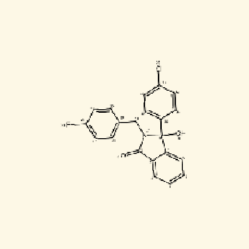 O=C1c2ccccc2C(O)(c2ccc(Cl)cc2)N1Cc1ccc(F)cc1